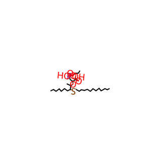 CCCCCCCCCCCCCSC(CCCCCCC)C(C)OC(CP(=O)(O)OCCC)C(=O)O